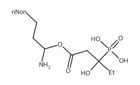 CCCCCCCCCCCC(N)OC(=O)CC(O)(CC)P(=O)(O)O